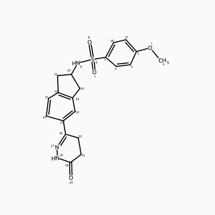 COc1ccc(S(=O)(=O)NC2Cc3ccc(C4=NNC(=O)CC4)cc3C2)cc1